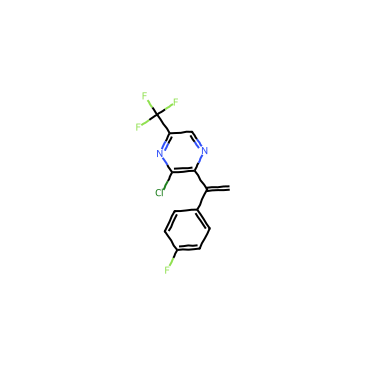 C=C(c1ccc(F)cc1)c1ncc(C(F)(F)F)nc1Cl